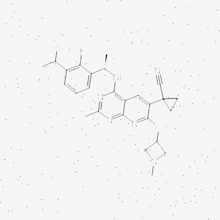 Cc1nc(N[C@H](C)c2cccc(C(C)F)c2F)c2cc(C3(C#N)CC3)c(OC3CN(C)C3)nc2n1